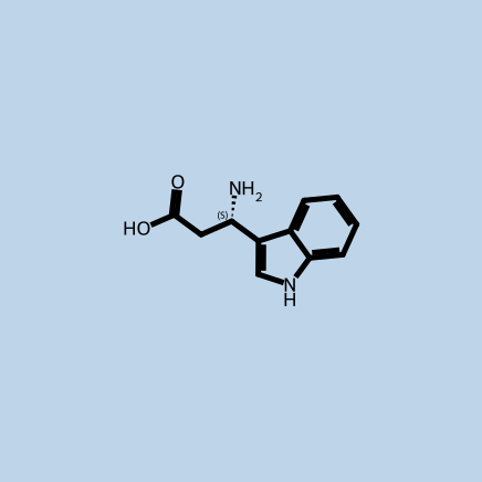 N[C@@H](CC(=O)O)c1c[nH]c2ccccc12